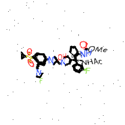 COC(=O)N[C@H]1CCC[C@@H]1[C@](CNC(C)=O)(c1cccc(F)c1)C1CCN(CC2(O)CN(c3ccc(S(=O)(=O)C4CC4)c(CN4CC(F)C4)c3)C2)CC1